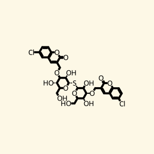 O=c1oc2ccc(Cl)cc2cc1COC1[C@@H](O)C(CO)O[C@@H](S[C@@H]2OC(CO)[C@H](O)[C@H](OCc3cc4cc(Cl)ccc4oc3=O)C2O)[C@@H]1O